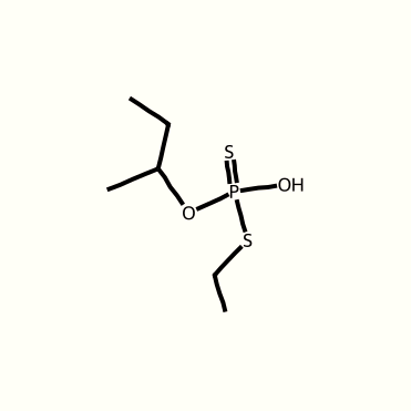 CCSP(O)(=S)OC(C)CC